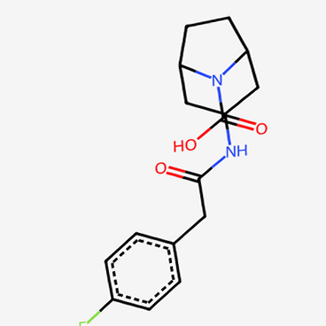 O=C(Cc1ccc(F)cc1)NC1CC2CCC(C1)N2C(=O)O